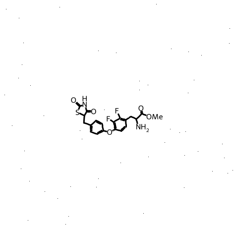 COC(=O)C(N)Cc1ccc(Oc2ccc(CC3SC(=O)NC3=O)cc2)c(F)c1F